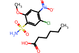 CCCCCC(=O)O.COc1cc([N+](=O)[O-])c(Cl)cc1S(N)(=O)=O